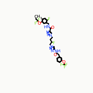 CCC(F)(F)Oc1ccc(F)c(CNC(=O)c2cn(CCC(F)Cn3cc(NC(=O)Cc4cccc(OC(F)(F)F)c4)nn3)nn2)c1